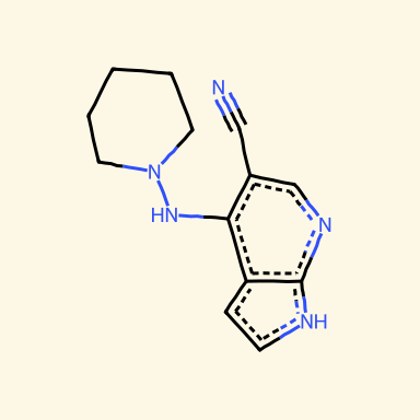 N#Cc1cnc2[nH]ccc2c1NN1CCCCC1